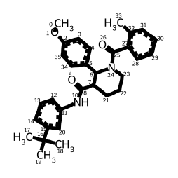 COc1ccc(C2C(C(=O)Nc3cccc(C(C)(C)C)c3)CCCN2C(=O)c2ccccc2C)cc1